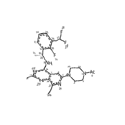 CC(=O)N1CCN(c2cc3c(N[C@H](C)c4cccc(C(F)F)c4F)nc(C)nc3c(C)n2)CC1